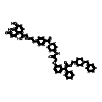 O=C(COc1cccc(C(C(=O)OCC2CCN(Cc3ccccc3)CC2)c2ccccc2)c1)NC1CCN(C(=O)c2ccc(CCNCC(O)c3ccc(O)c4[nH]c(=O)ccc34)cc2)CC1